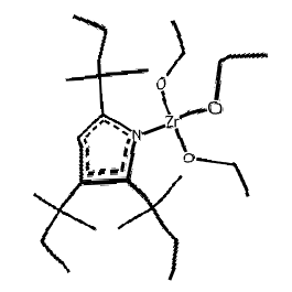 CC[O][Zr]([O]CC)([O]CC)[n]1c(C(C)(C)CC)cc(C(C)(C)CC)c1C(C)(C)CC